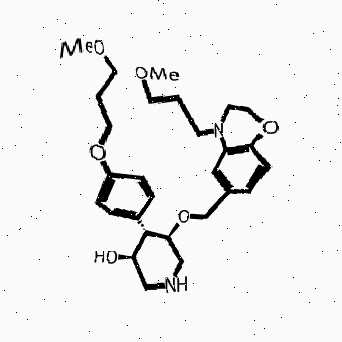 COCCCOc1ccc([C@H]2[C@H](O)CNC[C@@H]2OCc2ccc3c(c2)N(CCCOC)CCO3)cc1